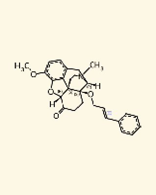 COc1ccc2c3c1O[C@H]1C(=O)CC[C@@]4(OC/C=C/c5ccccc5)[C@@H](C2)N(C)CC[C@]314